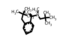 C=C(c1ccccc1CC(C)(C)C)N(C)CC(C)(C)C